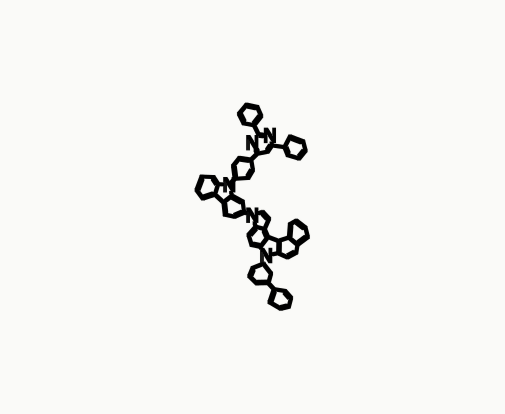 C1=CC(n2c3ccc4ccccc4c3c3c4ccn(-c5ccc6c7ccccc7n(-c7ccc(-c8cc(-c9ccccc9)nc(-c9ccccc9)n8)cc7)c6c5)c4ccc32)CC(c2ccccc2)=C1